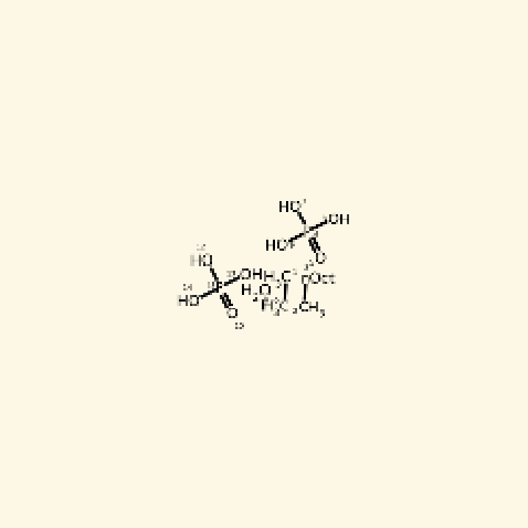 CC.CCCCCCCCC.O.O=P(O)(O)O.O=P(O)(O)O